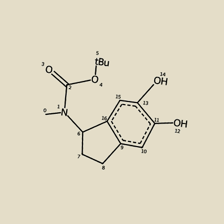 CN(C(=O)OC(C)(C)C)C1CCc2cc(O)c(O)cc21